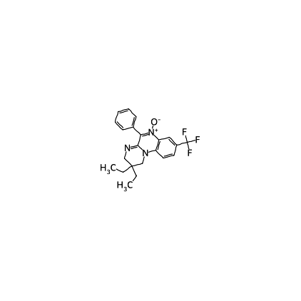 CCC1(CC)CN=C2C(c3ccccc3)=[N+]([O-])c3cc(C(F)(F)F)ccc3N2C1